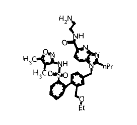 CCCc1nc2nc(C(=O)NCCN)ccc2n1Cc1ccc(-c2ccccc2S(=O)(=O)Nc2noc(C)c2C)c(COCC)c1